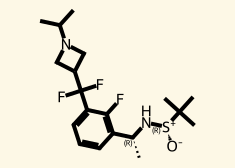 CC(C)N1CC(C(F)(F)c2cccc([C@@H](C)N[S@@+]([O-])C(C)(C)C)c2F)C1